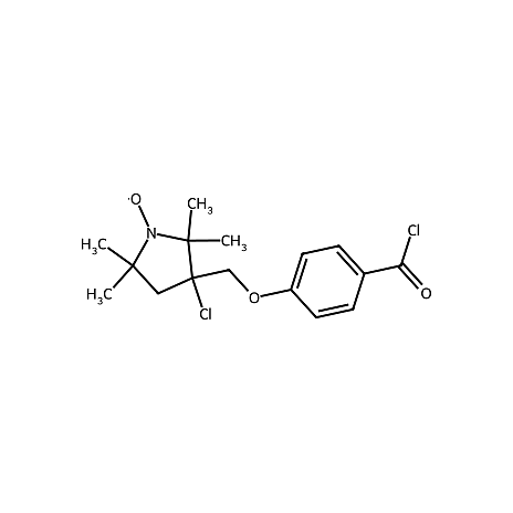 CC1(C)CC(Cl)(COc2ccc(C(=O)Cl)cc2)C(C)(C)N1[O]